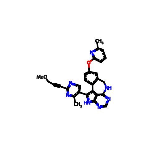 COCC#Cc1ncc(-c2[nH]c3ncnc4c3c2-c2ccc(Oc3cccc(C)n3)cc2CN4)c(C)n1